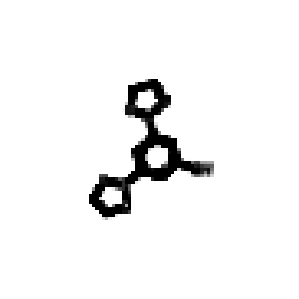 Oc1cc(B2OCCO2)cc(B2OCCO2)c1